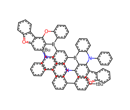 CC(C)(C)c1ccc(-c2cccc(-c3ccc(C(C)(C)C)cc3)c2N2c3cc4c(cc3B3c5ccccc5N(c5ccccc5)c5c3c2cc2oc3ccccc3c52)B2c3ccccc3Oc3c2c(cc2oc5ccccc5c32)N4c2ccccc2-c2ccccc2)cc1